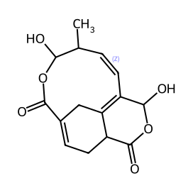 CC1/C=C\C2=C3CC(=CCC3C(=O)OC2O)C(=O)OC1O